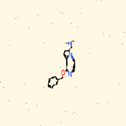 CN(C)Cc1ccc2c(OCc3ccccc3)nccn12